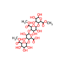 COC(=O)C1OC(OC2C(C(=O)O)OC(OC3C(C(=O)OC)OC(OC4C(C(=O)OC)OC(O)C(O)C4O)C(O)C3O)C(O)C2O)C(O)C(O)C1O